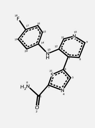 NC(=O)c1ncc(-c2ccncc2Nc2ccc(F)cc2)s1